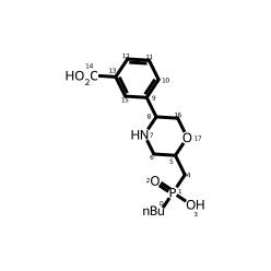 CCCCP(=O)(O)CC1CNC(c2cccc(C(=O)O)c2)CO1